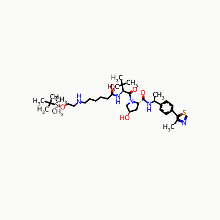 Cc1ncsc1-c1ccc([C@H](C)NC(=O)[C@@H]2C[C@@H](O)CN2C(=O)[C@@H](NC(=O)CCCCCNCCO[Si](C)(C)C(C)(C)C)C(C)(C)C)cc1